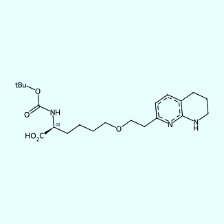 CC(C)(C)OC(=O)N[C@@H](CCCCOCCc1ccc2c(n1)NCCC2)C(=O)O